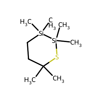 CC1(C)CC[Si](C)(C)[Si](C)(C)S1